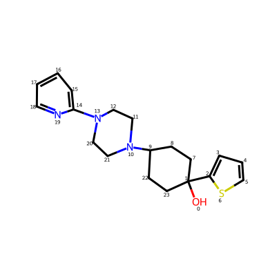 OC1(c2cccs2)CCC(N2CCN(c3ccccn3)CC2)CC1